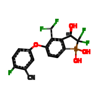 N#Cc1cc(Oc2ccc3c(c2C(F)F)[C@@H](O)C(F)(F)S3(O)O)ccc1F